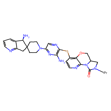 CC(C)N1CC2COc3c(Sc4ncc(N5CCC6(CC5)Cc5ncccc5[C@H]6N)nc4N)ccnc3N2C1=O